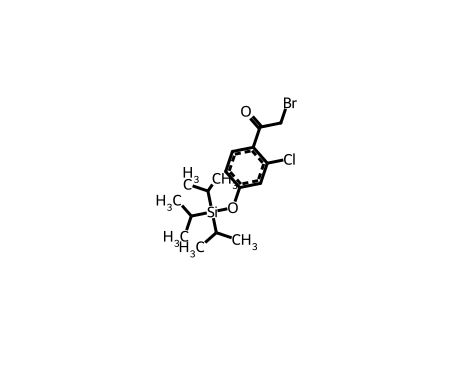 CC(C)[Si](Oc1ccc(C(=O)CBr)c(Cl)c1)(C(C)C)C(C)C